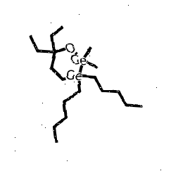 CCCC[CH2][Ge]1([CH2]CCCC)[CH2]CC(CC)(CC)[O][Ge]1([CH3])[CH3]